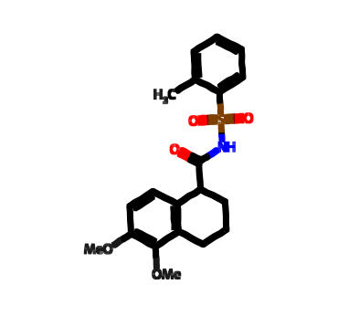 COc1ccc2c(c1OC)CCCC2C(=O)NS(=O)(=O)c1ccccc1C